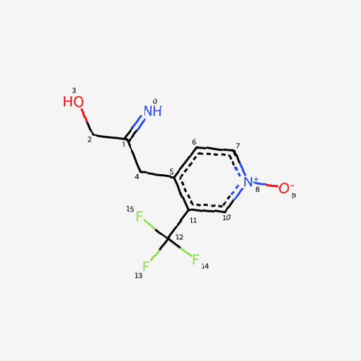 N=C(CO)Cc1cc[n+]([O-])cc1C(F)(F)F